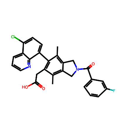 Cc1c2c(c(C)c(-c3ccc(Cl)c4cccnc34)c1CC(=O)O)CN(C(=O)c1cccc(F)c1)C2